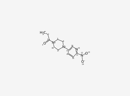 CCC(=O)N1CCN(c2ccc([N+](=O)[O-])nc2)CC1